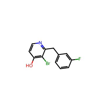 Oc1ccnc(Cc2cccc(F)c2)c1Br